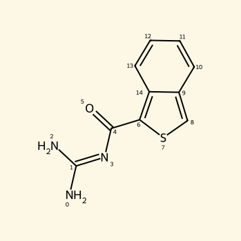 NC(N)=NC(=O)c1scc2ccccc12